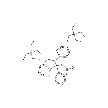 CCC(c1ccccc1)C(OB([O-])[O-])(c1ccccc1)c1ccccc1.CC[N+](CC)(CC)CC.CC[N+](CC)(CC)CC